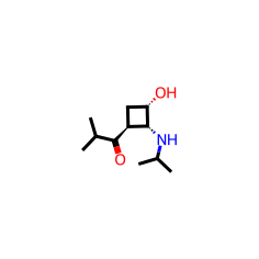 CC(C)N[C@@H]1[C@@H](C(=O)C(C)C)C[C@@H]1O